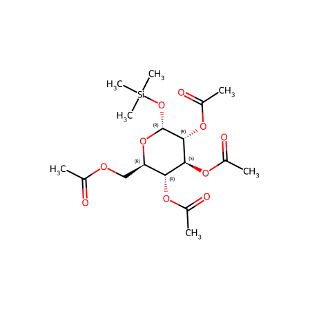 CC(=O)OC[C@H]1O[C@H](O[Si](C)(C)C)[C@H](OC(C)=O)[C@@H](OC(C)=O)[C@@H]1OC(C)=O